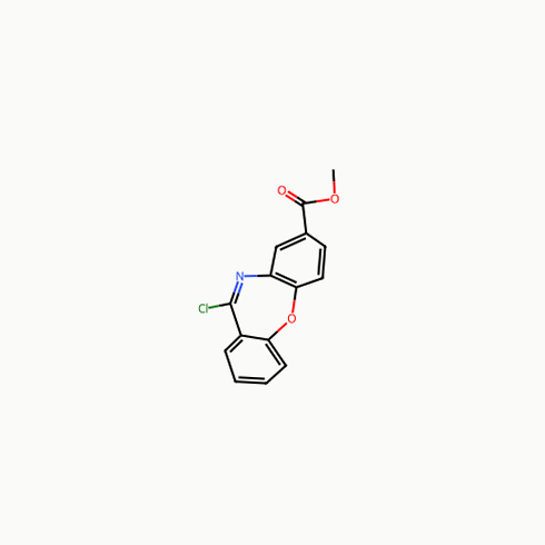 COC(=O)c1ccc2c(c1)N=C(Cl)c1ccccc1O2